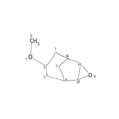 COC1CC2CC(C1)C1OC21